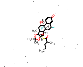 CCCC(C)C(=O)SC(=O)[C@@]12OC(C)(C)O[C@@H]1C[C@H]1[C@@H]3C[C@H](F)C4=CC(=O)C=C[C@]4(C)[C@@]3(F)[C@@H](O)C[C@@]12C